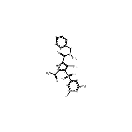 Cc1c(C(=O)N(C)Cc2ccccc2)[nH]c(C(N)=O)c1S(=O)(=O)c1cc(F)cc(Cl)c1